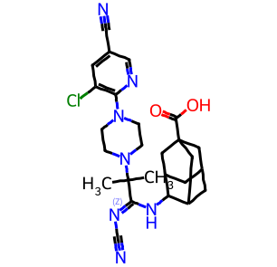 CC(C)(/C(=N/C#N)NC1C2CC3CC1CC(C(=O)O)(C3)C2)N1CCN(c2ncc(C#N)cc2Cl)CC1